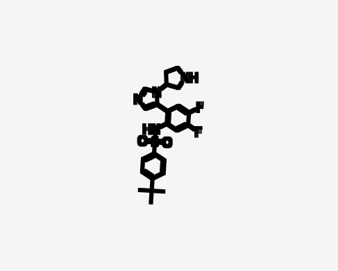 CC(C)(C)c1ccc(S(=O)(=O)Nc2cc(F)c(F)cc2-c2cncn2C2CCNC2)cc1